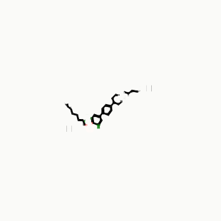 CCCCCCC[C@H](C)Oc1c(F)cc(-c2ccc(C3CC[SiH](CCCCC)CC3)cc2)cc1F